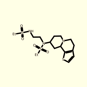 CCS(=O)(=O)NCCN(C1CCN2CCc3ccsc3C2C1)S(=O)(=O)CC